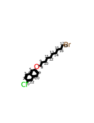 Clc1ccc2cc(OCCCCCCCCCCBr)ccc2c1